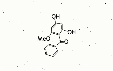 COc1cc(O)cc(O)c1C(=O)c1ccccc1